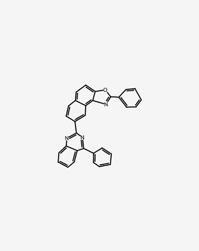 c1ccc(-c2nc3c(ccc4ccc(-c5nc(-c6ccccc6)c6ccccc6n5)cc43)o2)cc1